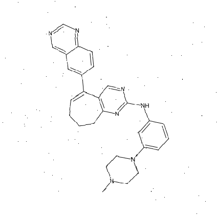 CN1CCN(c2cccc(Nc3ncc4c(n3)CCCC=C4c3ccc4ncncc4c3)c2)CC1